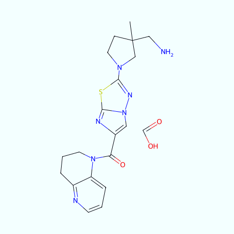 CC1(CN)CCN(c2nn3cc(C(=O)N4CCCc5ncccc54)nc3s2)C1.O=CO